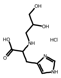 Cl.O=C(O)C(Cc1c[nH]cn1)NCC(O)CO